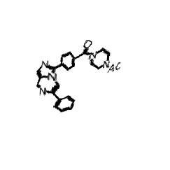 CC(=O)N1CCN(C(=O)c2ccc(-c3ncc4cnc(-c5ccccc5)cn34)cc2)CC1